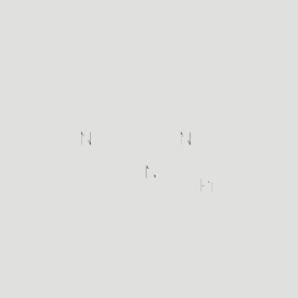 CC(C)c1ncc2ccncc2n1